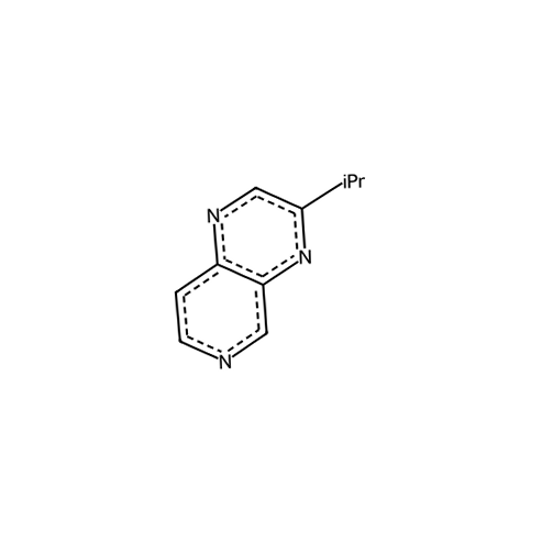 CC(C)c1cnc2ccncc2n1